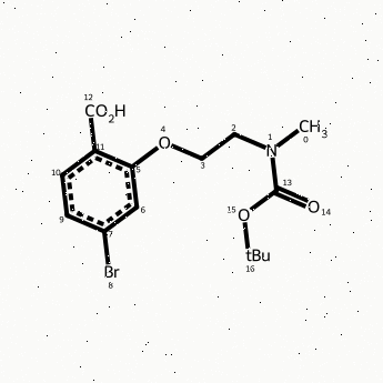 CN(CCOc1cc(Br)ccc1C(=O)O)C(=O)OC(C)(C)C